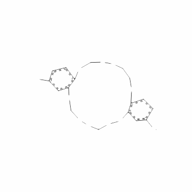 Oc1ccc2c(c1)OCCOCCOc1cc(O)ccc1OCCOCCO2